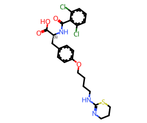 O=C(N[C@@H](Cc1ccc(OCCCCNC2=NCCCS2)cc1)C(=O)O)c1c(Cl)cccc1Cl